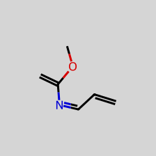 C=C/C=N\C(=C)OC